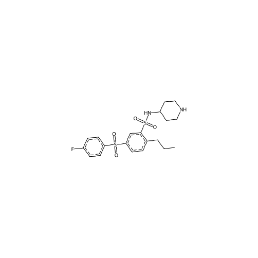 CCCc1ccc(S(=O)(=O)c2ccc(F)cc2)cc1S(=O)(=O)NC1CCNCC1